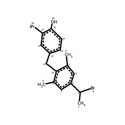 Cc1cc(C(C)Br)cc(C)c1Cc1ccc(O)c(C(C)C)c1